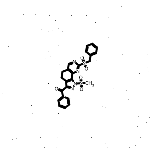 CS(=O)(=O)n1nc(C(=O)c2ccccc2)c2c1-c1nc(S(=O)(=O)Cc3ccccc3)ncc1CC2